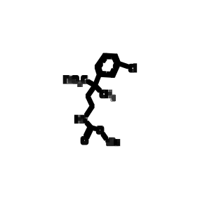 CCOC(=O)C(C)(CCNC(=O)OC(C)(C)C)c1cccc(Cl)c1